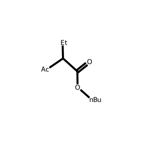 CCCCOC(=O)C(CC)C(C)=O